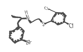 CC(NCCSc1cc(Cl)ccc1Cl)c1cccc(Br)c1